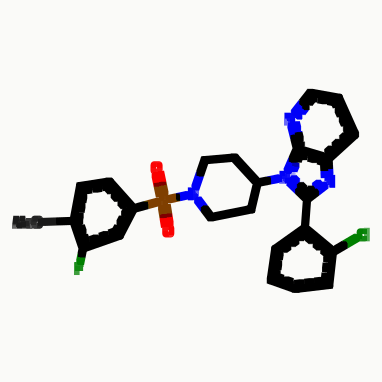 COc1ccc(S(=O)(=O)N2CCC(n3c(-c4ccccc4Cl)nc4cccnc43)CC2)cc1F